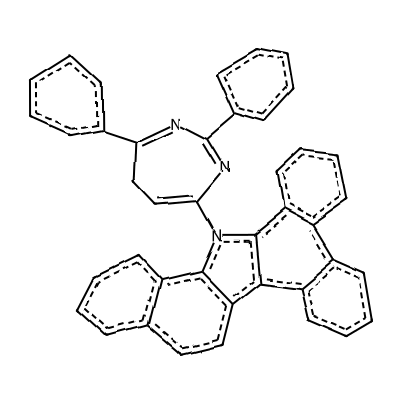 C1=C(n2c3c4ccccc4ccc3c3c4ccccc4c4ccccc4c32)N=C(c2ccccc2)N=C(c2ccccc2)C1